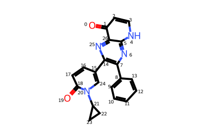 O=c1cc[nH]c2nc(-c3ccccc3)c(-c3ccc(=O)n(C4CC4)c3)nc12